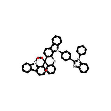 c1ccc(-n2c(-c3ccc(-n4c5ccccc5c5ccc6c(c54)Sc4ccccc4C64c5ccccc5-n5c6ccccc6c6cccc4c65)cc3)nc3ccccc32)cc1